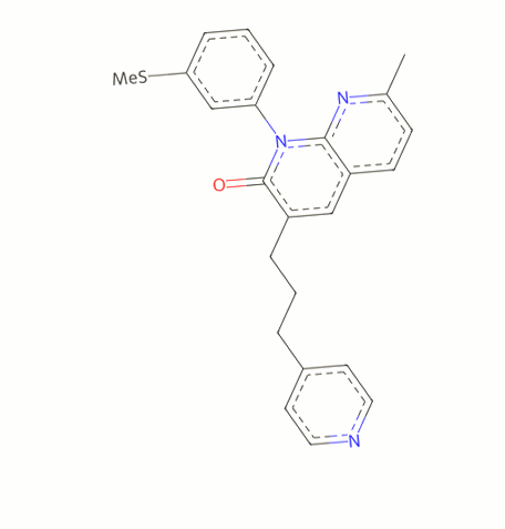 CSc1cccc(-n2c(=O)c(CCCc3ccncc3)cc3ccc(C)nc32)c1